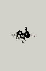 CNc1cccc(C2CC2)c1C(=N)C(C)(C)C(=O)N1C2CC3(C)CC1CC(C#N)(C2)C3